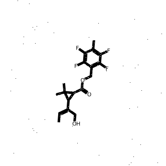 CC=C(CO)C1C(C(=O)OCc2c(F)c(F)c(C)c(F)c2F)C1(C)C